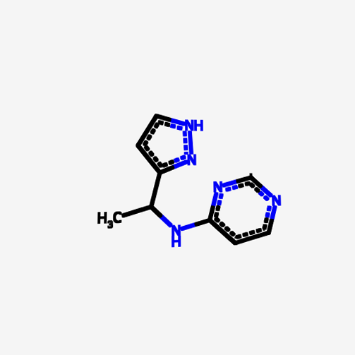 CC(Nc1ccn[c]n1)c1cc[nH]n1